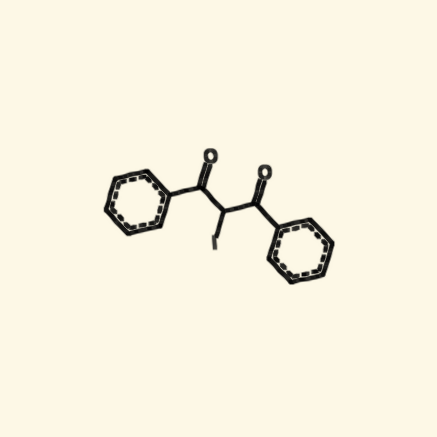 O=C(c1ccccc1)C(I)C(=O)c1ccccc1